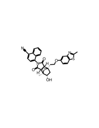 Cc1nc2cc(OCC[C@]34C[C@H](O)[C@](C)(O3)[C@@H]3C(=O)N(c5ccc(C#N)c6ccccc56)C(=O)[C@@H]34)ccc2s1